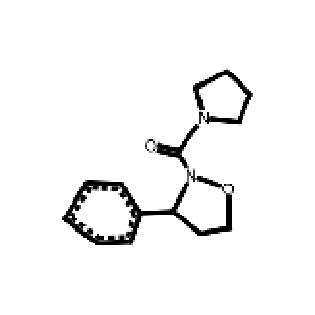 O=C(N1CCCC1)N1OCCC1c1ccccc1